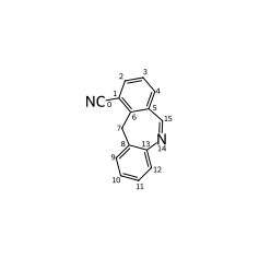 N#Cc1cccc2c1Cc1ccccc1N=C2